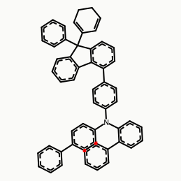 C1=CC(C2(c3ccccc3)c3ccccc3-c3c(-c4ccc(N(c5ccc(-c6ccccc6)cc5)c5ccccc5-c5ccccc5)cc4)cccc32)=CCC1